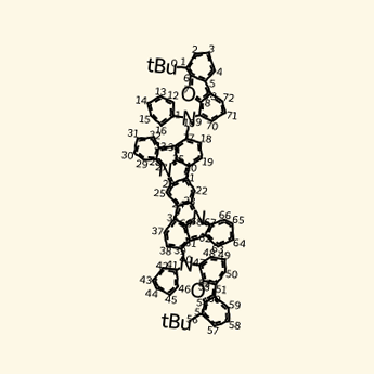 CC(C)(C)c1cccc2c1oc1c(N(c3ccccc3)c3ccc4c5cc6c(cc5n5c7ccccc7c3c45)c3ccc(N(c4ccccc4)c4cccc5c4oc4c(C(C)(C)C)cccc45)c4c5ccccc5n6c34)cccc12